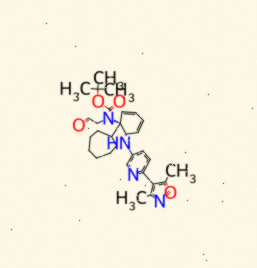 Cc1noc(C)c1-c1ccc(NC2C=CC=C[C@]2(C2CCCCCC2)N(CC=O)C(=O)OC(C)(C)C)cn1